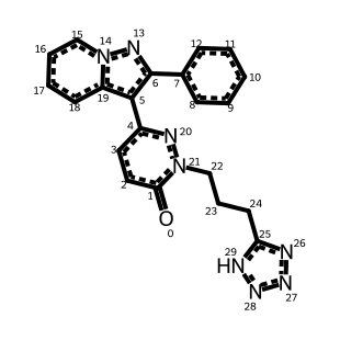 O=c1ccc(-c2c(-c3ccccc3)nn3ccccc23)nn1CCCc1nnn[nH]1